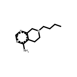 CCCCN1CCc2c(N)ncnc2C1